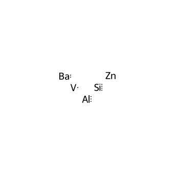 [Al].[Ba].[Si].[V].[Zn]